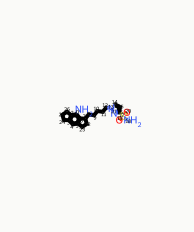 Nc1c2c(cc3c1C(CCCCCn1ccc(S(N)(=O)=O)n1)CC3)CCC2